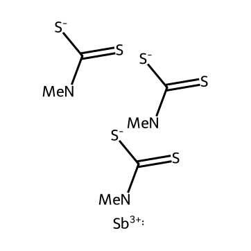 CNC(=S)[S-].CNC(=S)[S-].CNC(=S)[S-].[Sb+3]